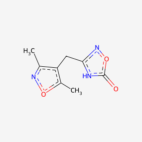 Cc1noc(C)c1Cc1noc(=O)[nH]1